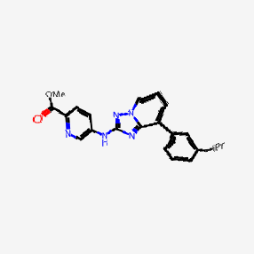 COC(=O)c1ccc(Nc2nc3c(-c4cccc(C(C)C)c4)cccn3n2)cn1